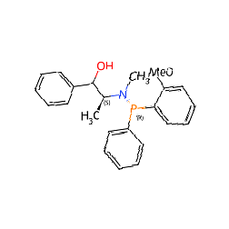 COc1ccccc1[P@](c1ccccc1)N(C)[C@@H](C)C(O)c1ccccc1